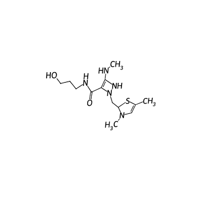 CNc1[nH]n(CC2SC(C)=CN2C)c1C(=O)NCCCO